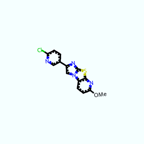 COc1ccc2c(n1)sc1nc(-c3ccc(Cl)nc3)cn12